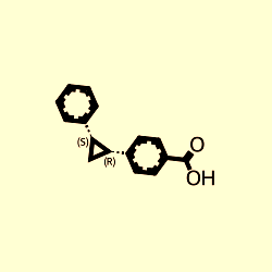 O=C(O)c1ccc([C@@H]2C[C@@H]2c2ccccc2)cc1